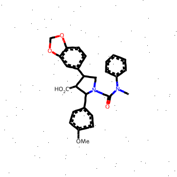 COc1ccc(C2C(C(=O)O)C(c3ccc4c(c3)OCO4)CN2C(=O)N(C)c2ccccc2)cc1